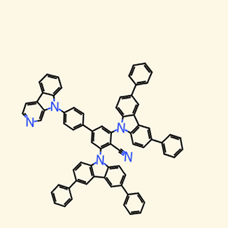 N#Cc1c(-n2c3ccc(-c4ccccc4)cc3c3cc(-c4ccccc4)ccc32)cc(-c2ccc(-n3c4ccccc4c4ccncc43)cc2)cc1-n1c2ccc(-c3ccccc3)cc2c2cc(-c3ccccc3)ccc21